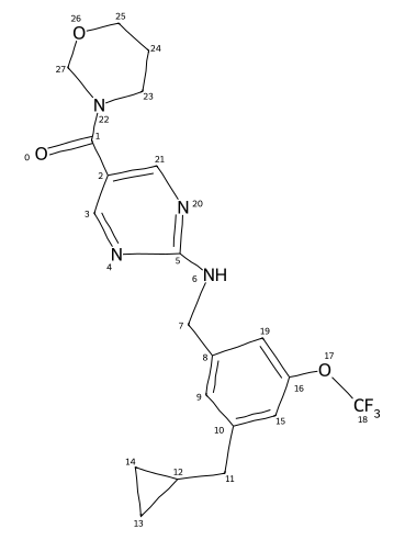 O=C(c1cnc(NCc2cc(CC3CC3)cc(OC(F)(F)F)c2)nc1)N1CCCOC1